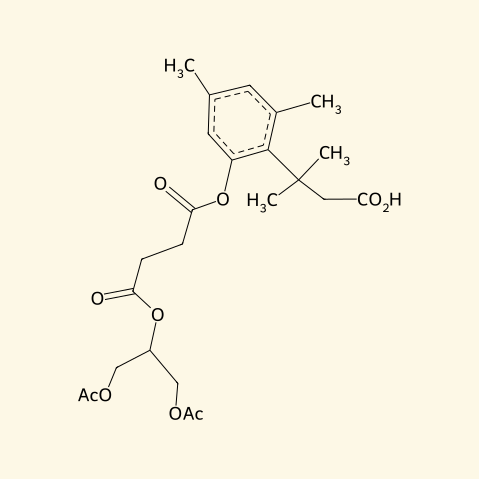 CC(=O)OCC(COC(C)=O)OC(=O)CCC(=O)Oc1cc(C)cc(C)c1C(C)(C)CC(=O)O